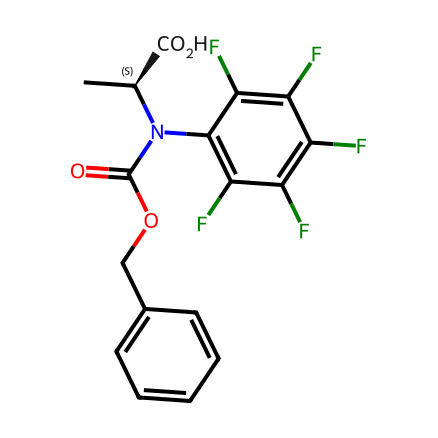 C[C@@H](C(=O)O)N(C(=O)OCc1ccccc1)c1c(F)c(F)c(F)c(F)c1F